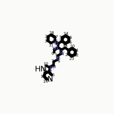 C/C=C(C(=C/C=C/C/C=C1\CNc2ccncc21)\Cc1ccccc1)/C(=C1/C=CC=CC1)c1ccccc1